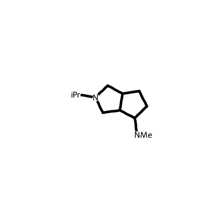 CNC1CCC2CN(C(C)C)CC21